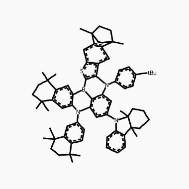 CC(C)(C)c1ccc(N2c3cc(N4c5ccccc5C5(C)CCCCC45C)cc4c3B(c3cc5c(cc3N4c3ccc4c(c3)C(C)(C)CCC4(C)C)C(C)(C)CCC5(C)C)c3sc4cc5c(cc4c32)C2(C)CCC5(C)CC2)cc1